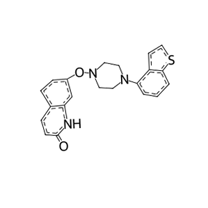 O=c1ccc2ccc(ON3CCN(c4cccc5sccc45)CC3)cc2[nH]1